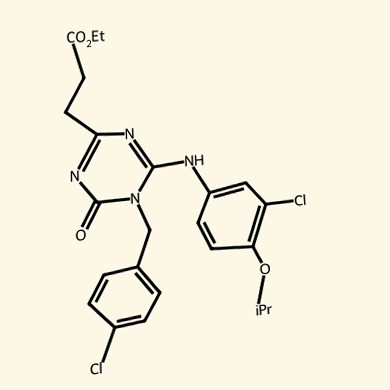 CCOC(=O)CCc1nc(Nc2ccc(OC(C)C)c(Cl)c2)n(Cc2ccc(Cl)cc2)c(=O)n1